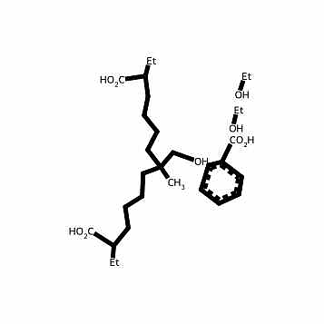 CCC(CCCCC(C)(CO)CCCCC(CC)C(=O)O)C(=O)O.CCO.CCO.O=C(O)c1ccccc1